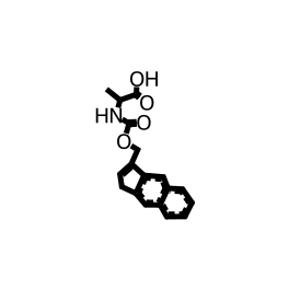 CC(NC(=O)OCC1=CCc2cc3ccccc3cc21)C(=O)O